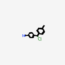 Cc1ccc(C(Cl)c2ccc(C#N)cc2)cc1